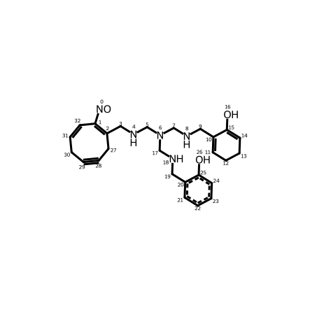 O=NC1=C(\CNCN(CNCC2=CCCC=C2O)CNCc2ccccc2O)CC#CC/C=C\1